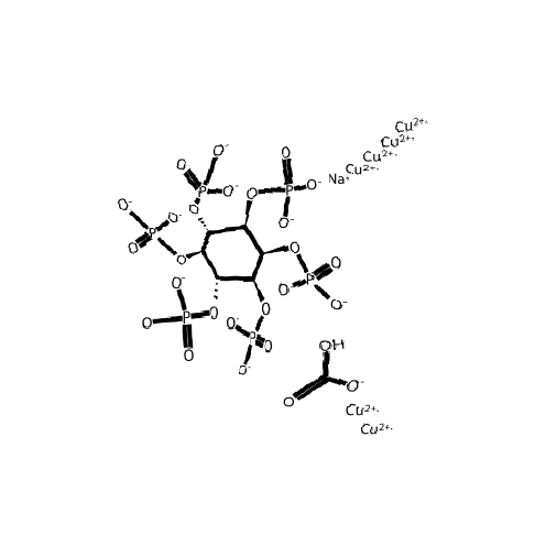 O=C([O-])O.O=P([O-])([O-])O[C@H]1[C@H](OP(=O)([O-])[O-])[C@@H](OP(=O)([O-])[O-])[C@H](OP(=O)([O-])[O-])[C@@H](OP(=O)([O-])[O-])[C@H]1OP(=O)([O-])[O-].[Cu+2].[Cu+2].[Cu+2].[Cu+2].[Cu+2].[Cu+2].[Na+]